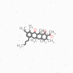 CCCCc1cc(CC)c(C)c2c1CC1(C)CC3(C)CC(C)=C(C(C)=O)C(=O)C3(C)C(C)=C1C2=O